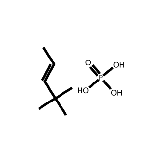 CC=CC(C)(C)C.O=P(O)(O)O